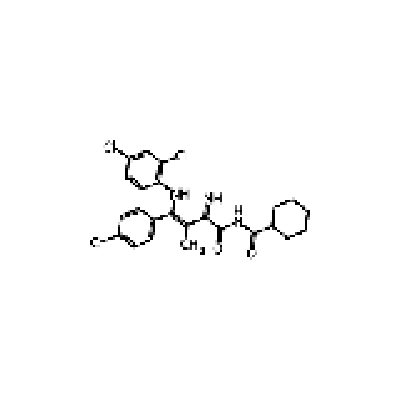 C/C(C(=N)C(=O)NC(=O)C1CCCCC1)=C(/Nc1ccc(Cl)cc1Cl)c1ccc(Cl)cc1